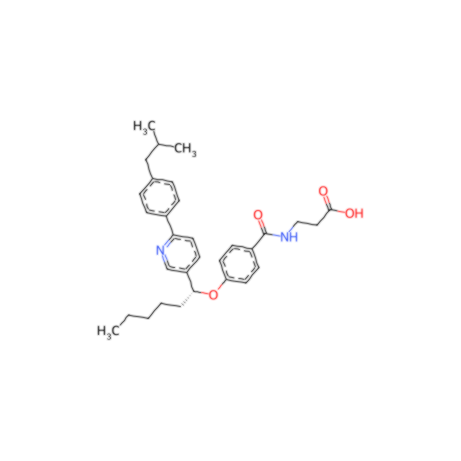 CCCCC[C@@H](Oc1ccc(C(=O)NCCC(=O)O)cc1)c1ccc(-c2ccc(CC(C)C)cc2)nc1